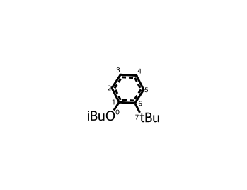 CC(C)COc1ccccc1C(C)(C)C